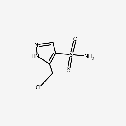 NS(=O)(=O)c1cn[nH]c1CCl